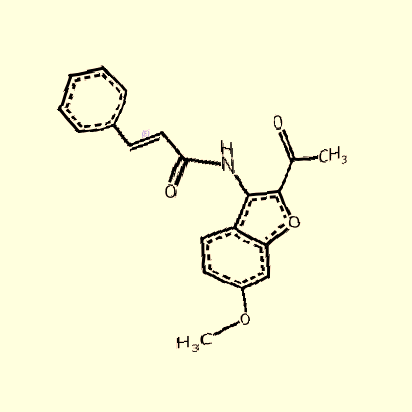 COc1ccc2c(NC(=O)/C=C/c3ccccc3)c(C(C)=O)oc2c1